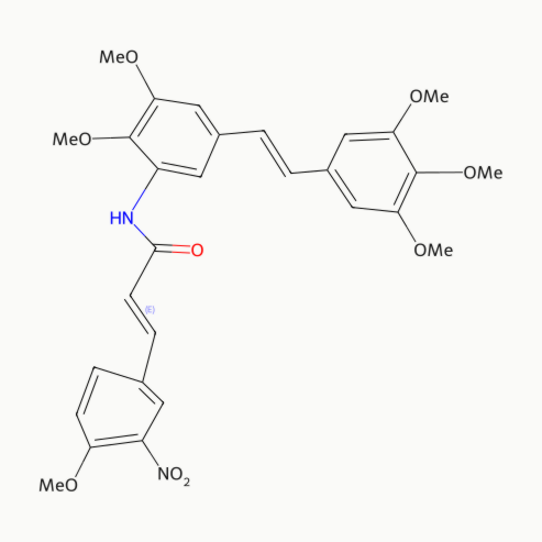 COc1ccc(/C=C/C(=O)Nc2cc(C=Cc3cc(OC)c(OC)c(OC)c3)cc(OC)c2OC)cc1[N+](=O)[O-]